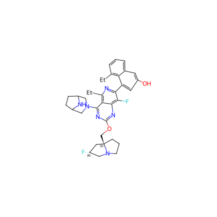 CCc1cccc2cc(O)cc(-c3nc(CC)c4c(N5CC6CCC(C5)N6)nc(OC[C@@]56CCCN5C[C@H](F)C6)nc4c3F)c12